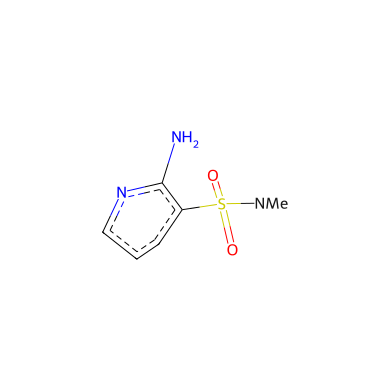 CNS(=O)(=O)c1cccnc1N